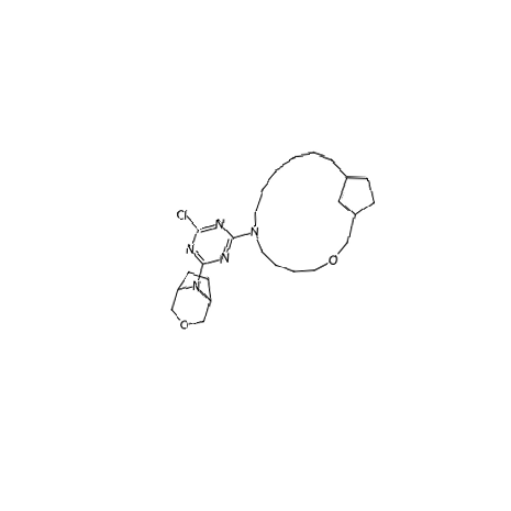 Clc1nc(N2CCCCCCC3CCC(COCCCC2)C3)nc(N2C3CCC2COC3)n1